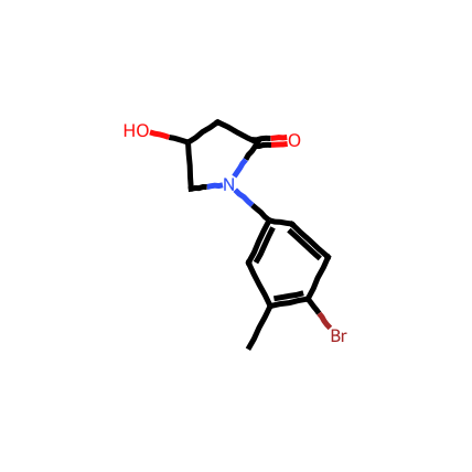 Cc1cc(N2CC(O)CC2=O)ccc1Br